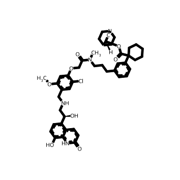 COc1cc(OCC(=O)N(C)CCCc2cccc(C3(C(=O)O[C@H]4CN5CCC4CC5)CCCCC3)c2)c(Cl)cc1CNC[C@@H](O)c1ccc(O)c2[nH]c(=O)ccc12